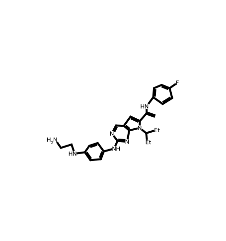 C=C(Nc1ccc(F)cc1)c1cc2cnc(Nc3ccc(NCCN)cc3)nc2n1C(CC)CC